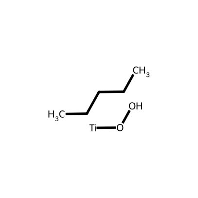 CCCCC.O[O][Ti]